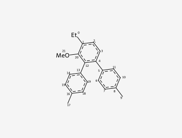 CCc1[c]cc(-c2ccc(C)cc2)c(-c2ccc(C)cc2)c1OC